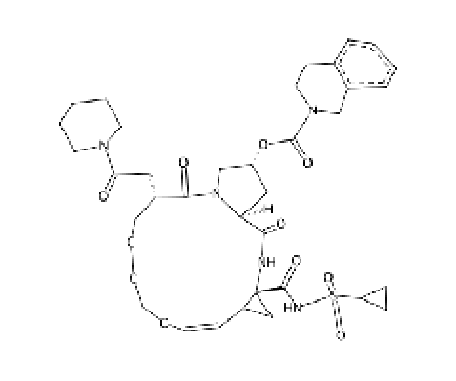 O=C1N[C@]2(C(=O)NS(=O)(=O)C3CC3)CC2/C=C\CCCCC[C@H](CC(=O)N2CCCCC2)C(=O)N2C[C@H](OC(=O)N3CCc4ccccc4C3)C[C@@H]12